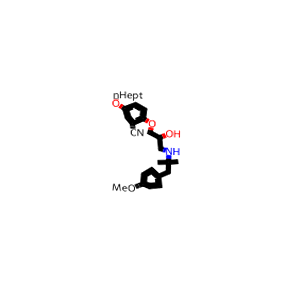 CCCCCCCOc1ccc(OCC(O)CNC(C)(C)Cc2ccc(OC)cc2)c(C#N)c1